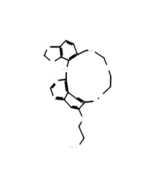 COCCOc1cc2ncnc3c2cc1OCCCCCNCc1ccc2c(c1N3)OCO2